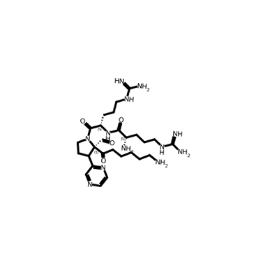 N=C(N)NCCC[C@H](NC(=O)[C@@H](N)CCCNC(=N)N)C(=O)N1CCC(c2cnccn2)[C@]1(C=O)C(=O)CCCCCN